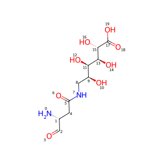 N[C@@H](C=O)CC(=O)NC[C@H](O)[C@@H](O)[C@H](O)[C@H](O)C(=O)O